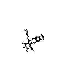 CC(C)Cn1c(=O)n(C)c(=O)c2c(SCCCO)n(Cc3cc4c(cc3Cl)OCO4)nc21